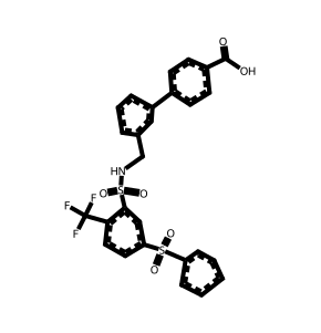 O=C(O)c1ccc(-c2cccc(CNS(=O)(=O)c3cc(S(=O)(=O)c4ccccc4)ccc3C(F)(F)F)c2)cc1